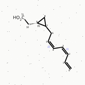 C=C/C=C\C=C/CC1C[C@H]1CC(=O)O